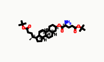 C[C@H](CCC(=O)OC(C)(C)C)C1CC[C@@H]2C1C=C[C@H]1[C@H]2CC[C@@H]2C[C@H](OC(=O)[C@@H](N)CCC(=O)OC(C)(C)C)CC[C@@]21C